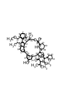 CCn1c(-c2cnccc2COC)c2c3cc(ccc31)-c1cc(O)cc(c1)C[C@H](NC(=O)C(C(C)C)N(C)C(=O)[C@H]1CCCO1)C(=O)N1CCC[C@H](N1)C(=O)OCC(C)(C)C2